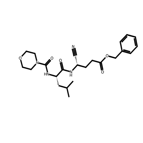 CC(C)C[C@H](NC(=O)N1CCOCC1)C(=O)N[C@H](C#N)CCC(=O)OCc1ccccc1